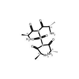 C[C@H](N)C(=O)N(C(=O)[C@H](C)N)S(=O)(=O)N(C(=O)[C@H](C)N)C(=O)[C@H](C)N